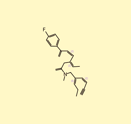 C#C/C=C\C(=C/CC)CN(C)C(=C)CC(/C=C\C(=C)c1ccc(F)cc1)=C/C